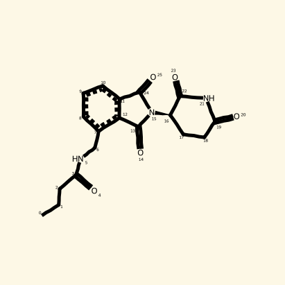 CCCC(=O)NCc1cccc2c1C(=O)N([C@@H]1CCC(=O)NC1=O)C2=O